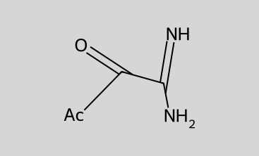 CC(=O)C(=O)C(=N)N